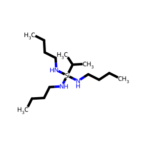 CCCCN[Si](NCCCC)(NCCCC)C(C)C